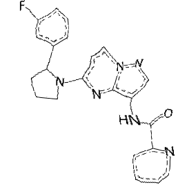 O=C(Nc1cnn2ccc(N3CCCC3c3cccc(F)c3)nc12)c1ccccn1